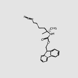 C[C@@](C=O)(CCCCN=[N+]=[N-])NC(=O)OCC1c2ccccc2-c2ccccc21